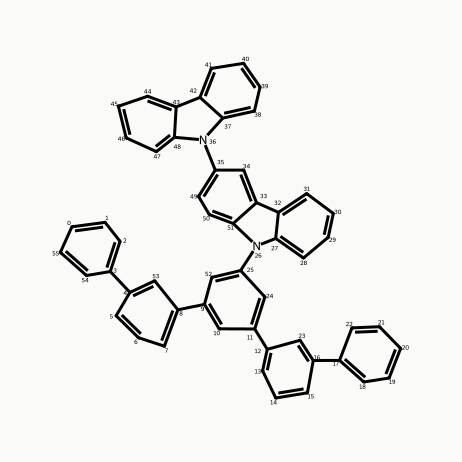 c1ccc(-c2cccc(-c3cc(-c4cccc(-c5ccccc5)c4)cc(-n4c5ccccc5c5cc(-n6c7ccccc7c7ccccc76)ccc54)c3)c2)cc1